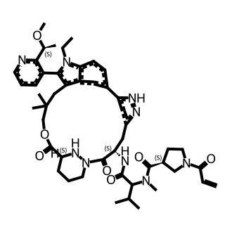 C=CC(=O)N1CC[C@H](C(=O)N(C)C(C(=O)N[C@H]2Cc3cc([nH]n3)-c3ccc4c(c3)c(c(-c3cccnc3[C@H](C)OC)n4CC)CC(C)(C)COC(=O)[C@@H]3CCCN(N3)C2=O)C(C)C)C1